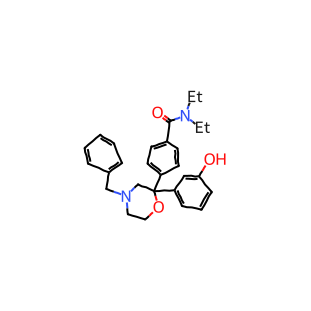 CCN(CC)C(=O)c1ccc(C2(c3cccc(O)c3)CN(Cc3ccccc3)CCO2)cc1